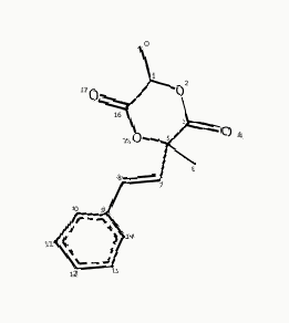 CC1OC(=O)C(C)(C=Cc2ccccc2)OC1=O